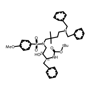 COc1ccc(S(=O)(=O)N(C[C@@H](O)[C@H](Cc2ccccc2)NC(=O)OC(C)(C)C)CC(C)(C)CCN(Cc2ccccc2)Cc2ccccc2)cc1